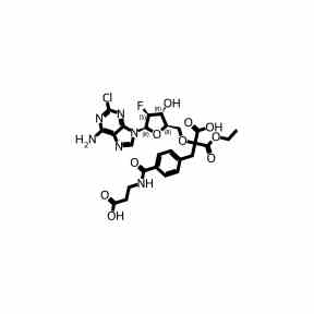 CCOC(=O)C(Cc1ccc(C(=O)NCCC(=O)O)cc1)(OC[C@H]1O[C@@H](n2cnc3c(N)nc(Cl)nc32)[C@@H](F)[C@@H]1O)C(=O)O